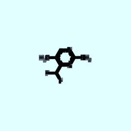 Cc1cnc(N)nc1C(F)F